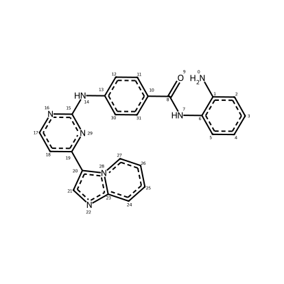 Nc1ccccc1NC(=O)c1ccc(Nc2nccc(-c3cnc4ccccn34)n2)cc1